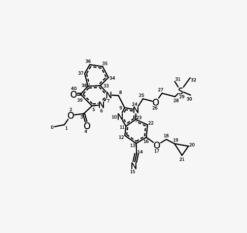 CCOC(=O)c1nn(Cc2nc3cc(C#N)c(OCC4CC4)cc3n2COCCS(C)(C)C)c2ccccc2c1=O